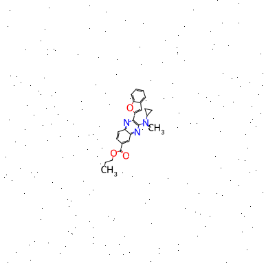 CCCOC(=O)c1ccc2nc(-c3cc4ccccc4o3)c(N(C)C3CC3)nc2c1